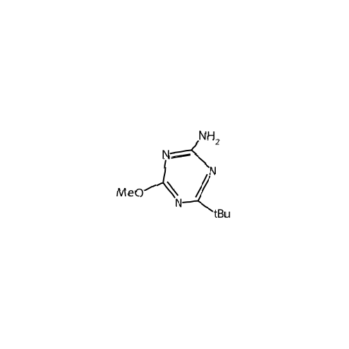 COc1nc(N)nc(C(C)(C)C)n1